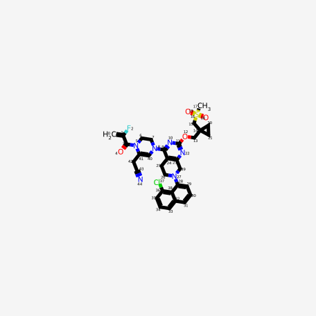 C=C(F)C(=O)N1CCN(c2nc(OCC3(CS(C)(=O)=O)CC3)nc3c2CCN(c2cccc4cccc(Cl)c24)C3)C=C1CC#N